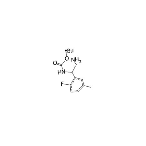 Cc1ccc(F)c(C(CN)NC(=O)OC(C)(C)C)c1